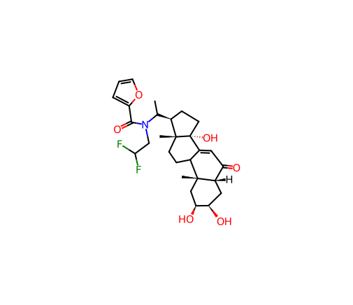 CC([C@H]1CC[C@@]2(O)C3=CC(=O)[C@@H]4C[C@@H](O)[C@@H](O)C[C@]4(C)C3CC[C@]12C)N(CC(F)F)C(=O)c1ccco1